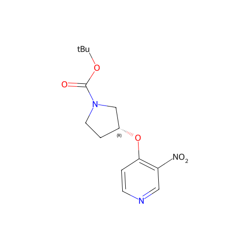 CC(C)(C)OC(=O)N1CC[C@@H](Oc2ccncc2[N+](=O)[O-])C1